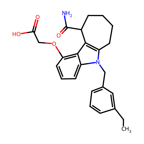 CCc1cccc(Cn2c3c(c4c(OCC(=O)O)cccc42)C(C(N)=O)CCCC3)c1